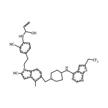 C=CC(O)Nc1ccc(CCn2c(C#N)cc3c(C)c(CN4CCC(Nc5ncnc6sc(CC(F)(F)F)cc56)CC4)ccc32)cc1C#N